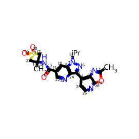 Cc1nc2c(-c3nn(C(C)C)c4cc(C(=O)NC5(C)CS(=O)(=O)C5)cnc34)ccnc2o1